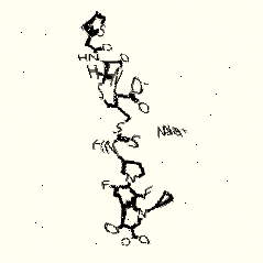 O=C(Cc1cccs1)N[C@@H]1C(=O)N2C(C(=O)[O-])=C(CSC(=S)NC3CCN(c4c(F)cc5c(=O)c(C(=O)[O-])cn(C6CC6)c5c4F)C3)CS[C@H]12.[Na+].[Na+]